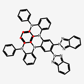 c1ccc(N2c3ccccc3N(c3cc(-n4nc5ccccc5n4)c(-n4nc5ccccc5n4)cc3N3c4ccccc4N(c4ccccc4)c4ccccc43)c3ccccc32)cc1